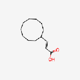 O=C(O)C=CC1CCCCCCCCC1